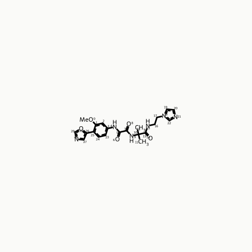 COc1cc(NC(=O)C(=O)NC(C)(C)C(=O)NCCn2ccnc2)ccc1-c1cnco1